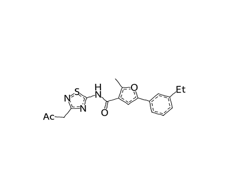 CCc1cccc(-c2cc(C(=O)Nc3nc(CC(C)=O)ns3)c(C)o2)c1